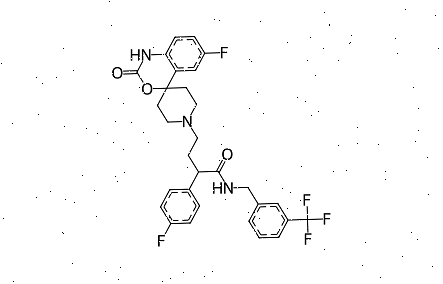 O=C1Nc2ccc(F)cc2C2(CCN(CCC(C(=O)NCc3cccc(C(F)(F)F)c3)c3ccc(F)cc3)CC2)O1